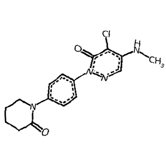 CNc1cnn(-c2ccc(N3CCCCC3=O)cc2)c(=O)c1Cl